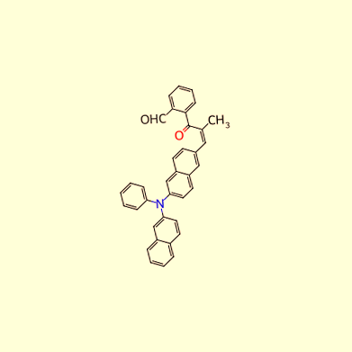 C/C(=C/c1ccc2cc(N(c3ccccc3)c3ccc4ccccc4c3)ccc2c1)C(=O)c1ccccc1C=O